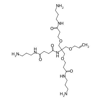 C=CCOCC(COCCC(=O)NCCCN)(COCCC(=O)NCCCN)NC(=O)CCC(=O)NCCCN